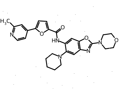 Cc1cc(-c2ccc(C(=O)Nc3cc4oc(N5CCOCC5)nc4cc3N3CCCCC3)o2)ccn1